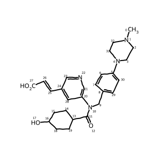 CN1CCN(c2ccc(CN(C(=O)C3CCC(O)CC3)c3cncc(C=CC(=O)O)c3)cc2)CC1